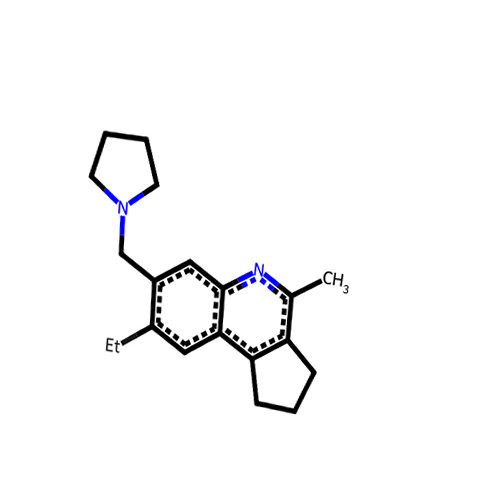 CCc1cc2c3c(c(C)nc2cc1CN1CCCC1)CCC3